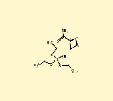 CCO[Si](C)(OCC)OCC.NC(=O)N1CCC1